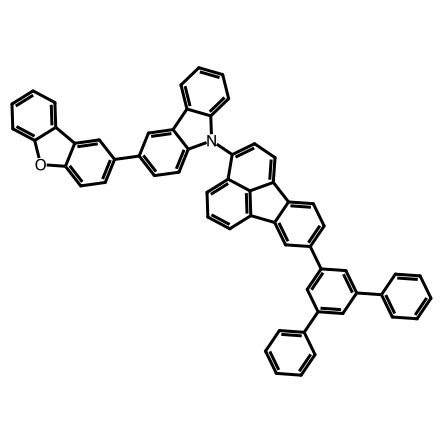 c1ccc(-c2cc(-c3ccccc3)cc(-c3ccc4c(c3)-c3cccc5c(-n6c7ccccc7c7cc(-c8ccc9oc%10ccccc%10c9c8)ccc76)ccc-4c35)c2)cc1